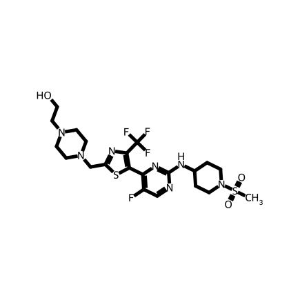 CS(=O)(=O)N1CCC(Nc2ncc(F)c(-c3sc(CN4CCN(CCO)CC4)nc3C(F)(F)F)n2)CC1